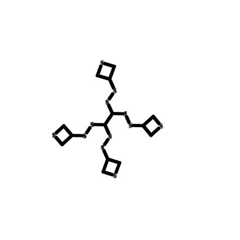 C1SCC1SSC(SSC1CSC1)C(SSC1CSC1)SSC1CSC1